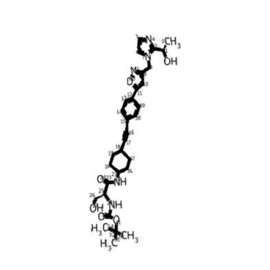 C[C@@H](O)c1nccn1Cc1cc(-c2ccc(C#CC3CCC(NC(=O)[C@H](CO)NC(=O)OC(C)(C)C)CC3)cc2)on1